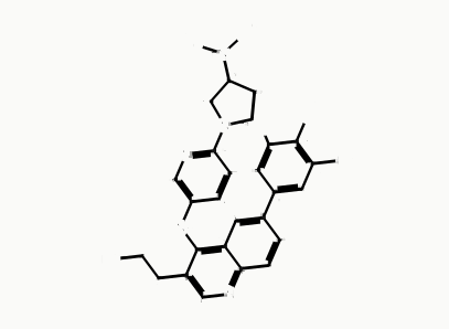 CCCc1cnc2ccc(-c3cc(F)c(O)c(Cl)c3)cc2c1Nc1ccc(N2CCC(N(C)C)C2)nc1